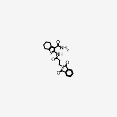 NC(=O)c1c(NC(=O)CCN2C(=O)c3ccccc3C2=O)sc2c1CCCC2